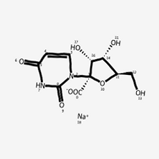 O=C([O-])[C@@]1(n2ccc(=O)[nH]c2=O)O[C@H](CO)[C@@H](O)[C@H]1O.[Na+]